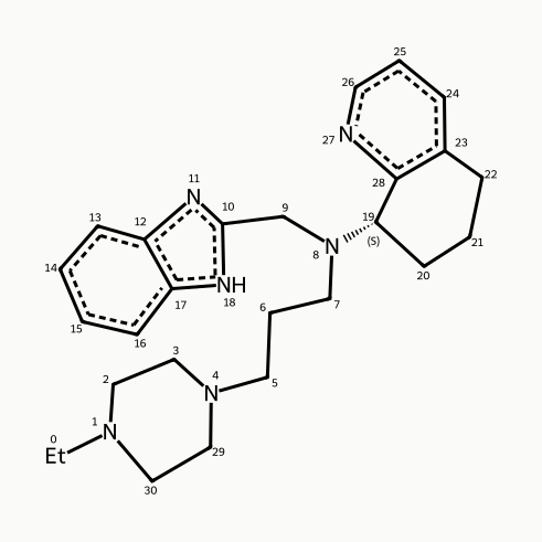 CCN1CCN(CCCN(Cc2nc3ccccc3[nH]2)[C@H]2CCCc3cccnc32)CC1